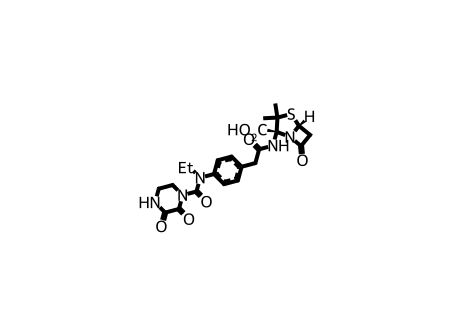 CCN(C(=O)N1CCNC(=O)C1=O)c1ccc(CC(=O)N[C@@]2(C(=O)O)N3C(=O)C[C@H]3SC2(C)C)cc1